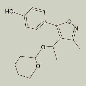 Cc1noc(-c2ccc(O)cc2)c1C(C)OC1CCCCO1